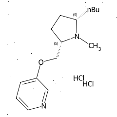 CCCC[C@H]1CC[C@@H](COc2cccnc2)N1C.Cl.Cl